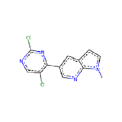 Cn1ccc2cc(-c3nc(Cl)ncc3Cl)cnc21